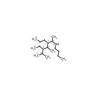 CCCCNC(C)N(CCC)C(C)N(CC)C(C)C